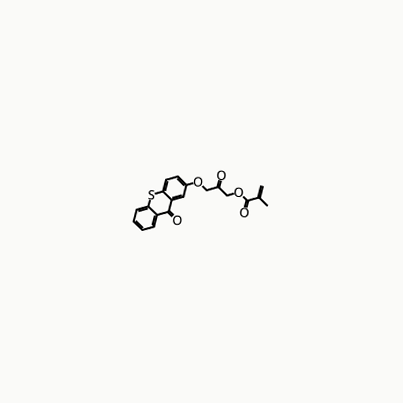 C=C(C)C(=O)OCC(=O)COc1ccc2sc3ccccc3c(=O)c2c1